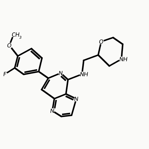 COc1ccc(-c2cc3nccnc3c(NCC3CNCCO3)n2)cc1F